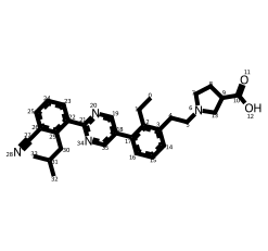 CCc1c(CCN2CCC(C(=O)O)C2)cccc1-c1cnc(-c2cccc(C#N)c2CC(C)C)nc1